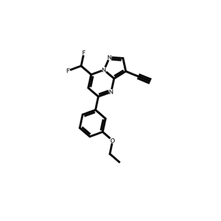 C#Cc1cnn2c(C(F)F)cc(-c3cccc(OCC)c3)nc12